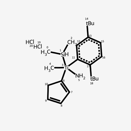 C[SiH](C)[Ti]([CH3])([NH2])([C]1=CC=CC1)[c]1cc(C(C)(C)C)ccc1C(C)(C)C.Cl.Cl